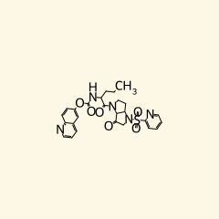 CCCC(NC(=O)Oc1ccc2ncccc2c1)C(=O)N1CCC2C1C(=O)CN2S(=O)(=O)c1ccccn1